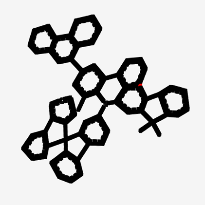 Cc1cc(-c2cc3ccccc3c3ccccc23)cc(-c2ccccc2)c1N(c1ccc2c(c1)C(C)(C)c1ccccc1-2)c1ccc2c(c1)C1(c3ccccc3-c3ccccc31)c1ccccc1-2